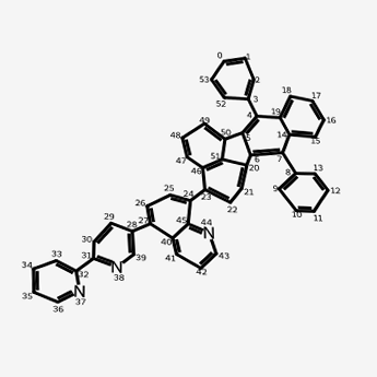 c1ccc(-c2c3c(c(-c4ccccc4)c4ccccc24)-c2ccc(-c4ccc(-c5ccc(-c6ccccn6)nc5)c5cccnc45)c4cccc-3c24)cc1